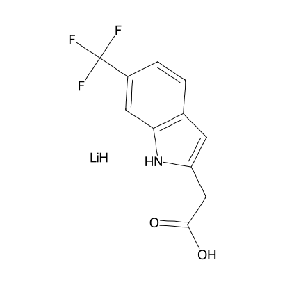 O=C(O)Cc1cc2ccc(C(F)(F)F)cc2[nH]1.[LiH]